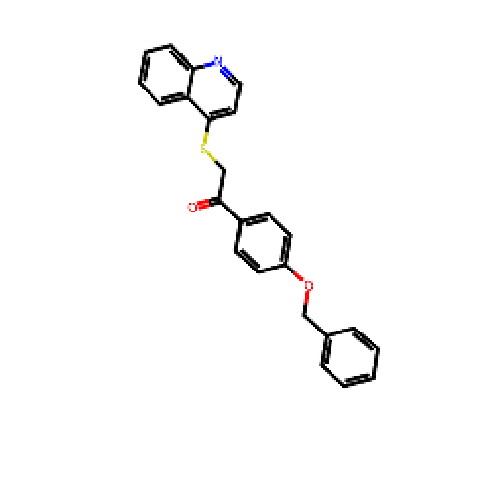 O=C(CSc1ccnc2ccccc12)c1ccc(OCc2ccccc2)cc1